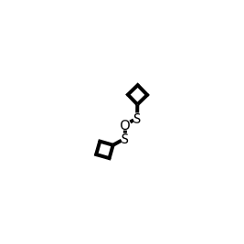 C1CC(SOSC2CCC2)C1